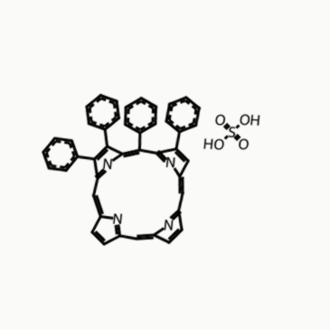 C1=CC2=NC1=CC1=NC(=C(c3ccccc3)C3=NC(=CC4=NC(=C2)C=C4)C=C3c2ccccc2)C(c2ccccc2)=C1c1ccccc1.O=S(=O)(O)O